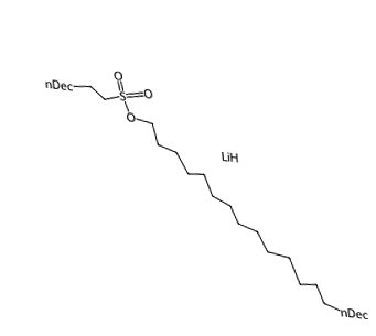 CCCCCCCCCCCCCCCCCCCCCCCCOS(=O)(=O)CCCCCCCCCCCC.[LiH]